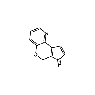 c1cnc2c(c1)OCc1[nH]ccc1-2